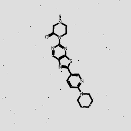 CN1CCN(c2ncc3nc(-c4ccc(N5CCCCC5)nc4)sc3n2)C(=O)C1